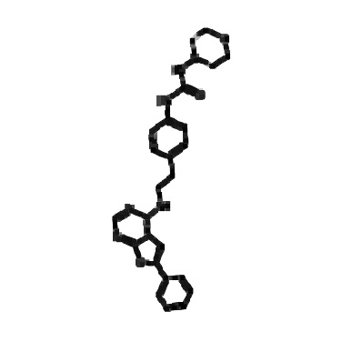 O=C(Nc1ccc(CCNc2ncnc3oc(-c4ccccc4)cc23)cc1)NN1CCOCC1